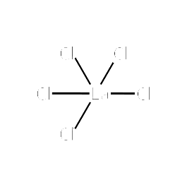 [Cl][La]([Cl])([Cl])([Cl])[Cl]